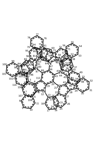 c1ccc(-c2c(-c3ccccc3)n(-c3ccccc3)c3c(-n4c5ccccc5c5c6ccccc6n(-c6ccccc6)c54)c(-n4c5ccccc5c5c6ccccc6n(-c6ccccc6)c54)c(-n4c5ccccc5c5c6ccccc6n(-c6ccccc6)c54)c(-n4c5ccccc5c5c6ccccc6n(-c6ccccc6)c54)c23)cc1